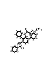 CCCNC(=O)C1c2ccccc2-c2c(NC(=O)c3ccccc3)ccc(-c3ccccc3)c21